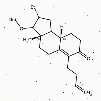 C=CCCC1=C2CC[C@]3(C)C(OC(C)(C)C)C(CC)CC3[C@@H]2CCC1=O